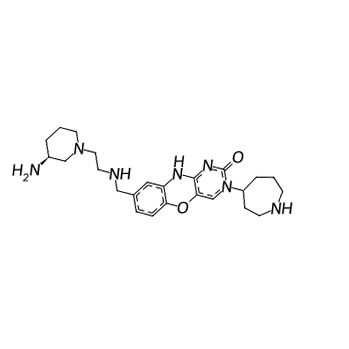 N[C@H]1CCCN(CCNCc2ccc3c(c2)Nc2nc(=O)n(C4CCCNCC4)cc2O3)C1